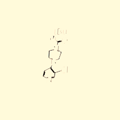 CC(C)(C)OC(=O)N1CCN(c2ccncc2Cl)CC1